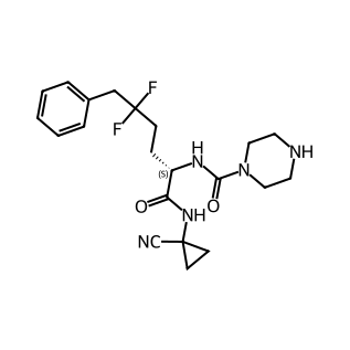 N#CC1(NC(=O)[C@H](CCC(F)(F)Cc2ccccc2)NC(=O)N2CCNCC2)CC1